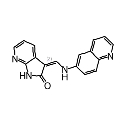 O=C1Nc2ncccc2/C1=C/Nc1ccc2ncccc2c1